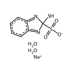 O.O.O=S(=O)([O-])C1(S)N=c2ccccc2=N1.[Na+]